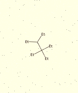 CC[C](CC)C(CC)(CC)CC